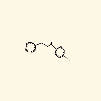 O=C(CCc1cccnc1)c1ccc([N+](=O)[O-])cc1